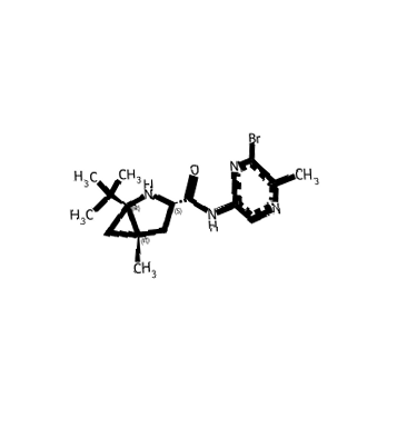 Cc1ncc(NC(=O)[C@@H]2C[C@]3(C)C[C@]3(C(C)(C)C)N2)nc1Br